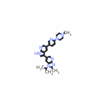 Cc1nc2ncc(-c3c[nH]c4ncc(-c5ccc(N6CCN(C)CC6)nc5)cc34)cc2n1C(C)C